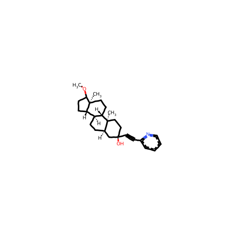 COC1CC[C@H]2[C@@H]3CC[C@@H]4C[C@@](O)(C#Cc5ccccn5)CC[C@]4(C)[C@H]3CC[C@]12C